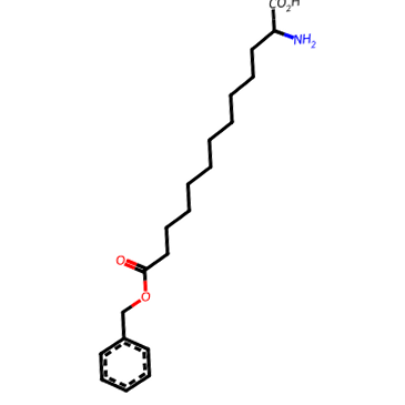 NC(CCCCCCCCCCC(=O)OCc1ccccc1)C(=O)O